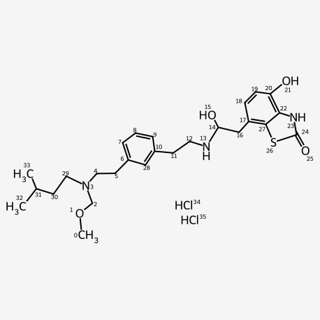 COCN(CCc1cccc(CCNC(O)Cc2ccc(O)c3[nH]c(=O)sc23)c1)CCC(C)C.Cl.Cl